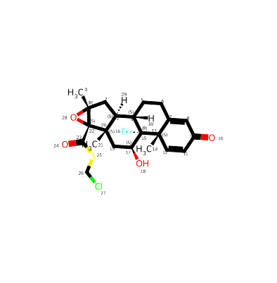 C[C@@]12C[C@H]3[C@@H]4CCC5=CC(=O)C=C[C@]5(C)[C@@]4(F)[C@@H](O)C[C@]3(C)[C@]1(C(=O)SCCl)O2